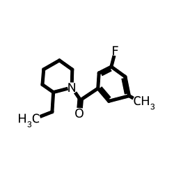 CCC1CCCCN1C(=O)c1cc(C)cc(F)c1